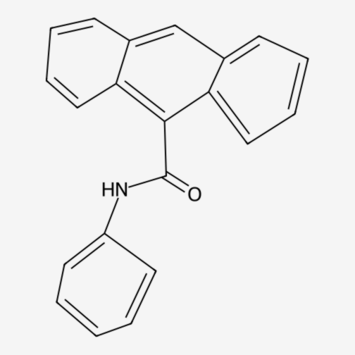 O=C(Nc1ccccc1)c1c2ccccc2cc2ccccc12